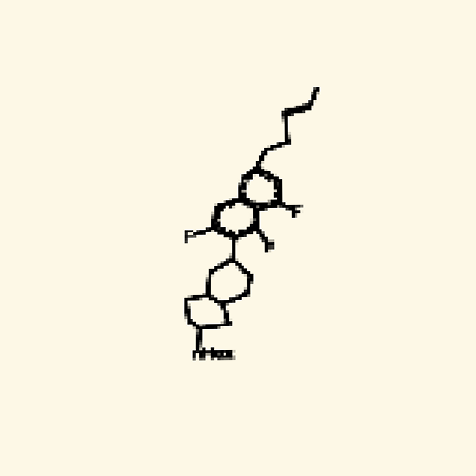 C/C=C/CCc1cc(F)c2c(F)c(C3CCC4CC(CCCCCC)CCC4C3)c(F)cc2c1